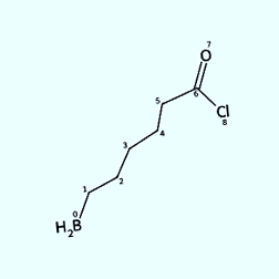 BCCCCCC(=O)Cl